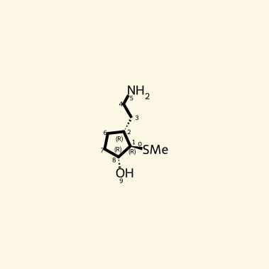 CS[C@@H]1[C@@H](CCN)CC[C@H]1O